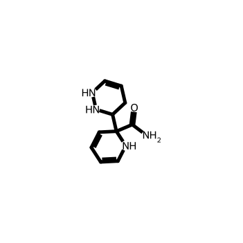 NC(=O)C1(C2CC=CNN2)C=CC=CN1